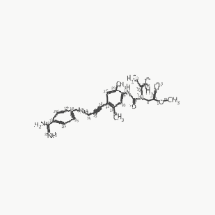 COC(=O)CN(C(=O)Nc1cc(C)c(C#CCNc2ccc(C(=N)N)cc2)cc1C)C(C)C